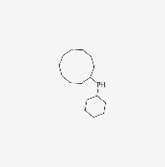 C1CCCCC(PC2CCCCC2)CCCC1